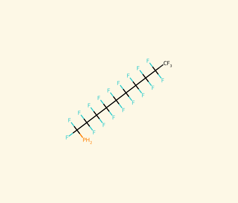 FC(F)(F)C(F)(F)C(F)(F)C(F)(F)C(F)(F)C(F)(F)C(F)(F)C(F)(F)C(F)(F)C(F)(F)P